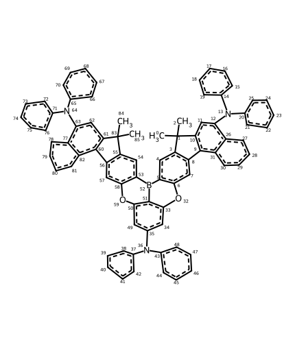 CC1(C)c2cc3c(cc2-c2c1cc(N(c1ccccc1)c1ccccc1)c1ccccc21)Oc1cc(N(c2ccccc2)c2ccccc2)cc2c1B3c1cc3c(cc1O2)-c1c(cc(N(c2ccccc2)c2ccccc2)c2ccccc12)C3(C)C